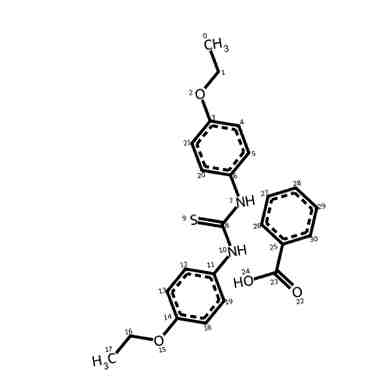 CCOc1ccc(NC(=S)Nc2ccc(OCC)cc2)cc1.O=C(O)c1ccccc1